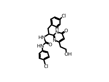 O=C(Nc1ccc(Cl)cc1)NC(Cc1ccc(Cl)cc1)c1nc(CCO)cc(=O)[nH]1